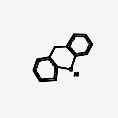 [Al].c1ccc2c(c1)Cc1ccccc1O2